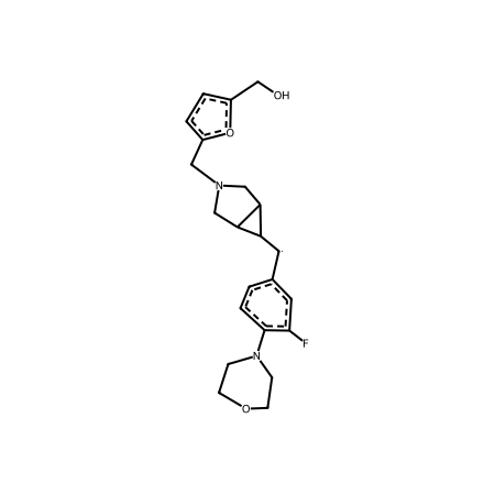 OCc1ccc(CN2CC3C([CH]c4ccc(N5CCOCC5)c(F)c4)C3C2)o1